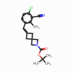 Cc1c(C=C2CC3(C2)CN(C(=O)OC(C)(C)C)C3)ccc(Cl)c1C#N